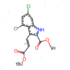 CC(C)OC(=O)c1[nH]c2cc(Cl)cc(Cl)c2c1/C=C/C(=O)OC(C)(C)C